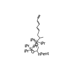 C#CC=CC=CCC(C)[Si](OCC(CCCCC)O[Si](C(C)C)(C(C)C)C(C)C)(C(C)C)C(C)C